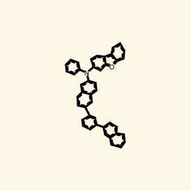 c1ccc(N(c2ccc3cc(-c4cccc(-c5ccc6ccccc6c5)c4)ccc3c2)c2ccc3c(c2)oc2ccccc23)cc1